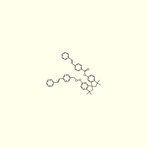 CC1(C)CC2(CC(C)(C)c3ccc(OC(=O)c4ccc(/C=C/c5ccccc5)cc4)cc32)c2cc(OOCc3ccc(/C=C/c4ccccc4)cc3)ccc21